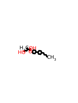 C=C(CCO)C(O)OC1CCC(C2CCC(CCCCC)CC2)CC1